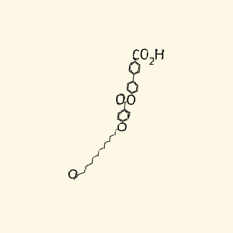 O=C(O)c1ccc(-c2ccc(OC(=O)c3ccc(OCCCCCCCCCCCCC4CO4)cc3)cc2)cc1